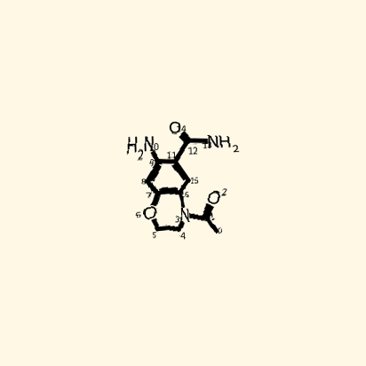 CC(=O)N1CCOc2cc(N)c(C(N)=O)cc21